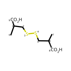 CC(CSSCC(C)C(=O)O)C(=O)O